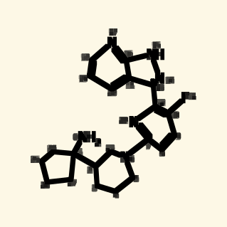 NC1(C2CCCN(c3ccc(F)c(-c4n[nH]c5ncccc45)n3)C2)CCCC1